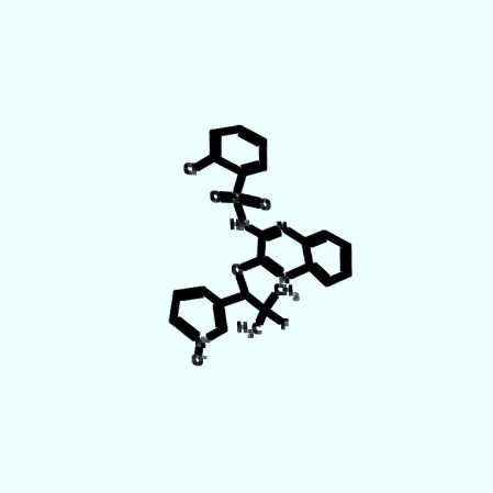 CC(C)(F)C(Oc1nc2ccccc2nc1NS(=O)(=O)c1ccccc1Cl)c1ccc[n+]([O-])c1